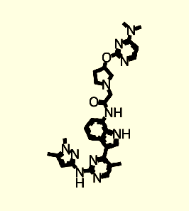 Cc1cnc(Nc2cc(C)n(C)n2)nc1-c1c[nH]c2c(NC(=O)CN3CCC(Oc4nccc(N(C)C)n4)C3)cccc12